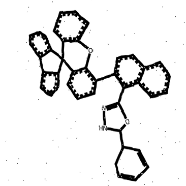 C1=CCC(C2NN=C(c3c(-c4cccc5c4Oc4ccccc4C54c5ccccc5-c5ccccc54)ccc4ccccc34)O2)C=C1